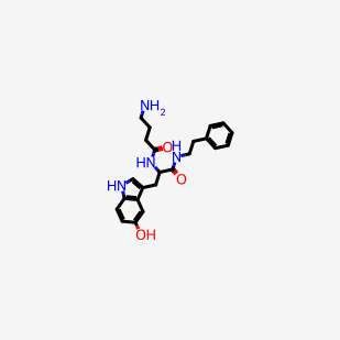 NCCCC(=O)NC(Cc1c[nH]c2ccc(O)cc12)C(=O)NCCc1ccccc1